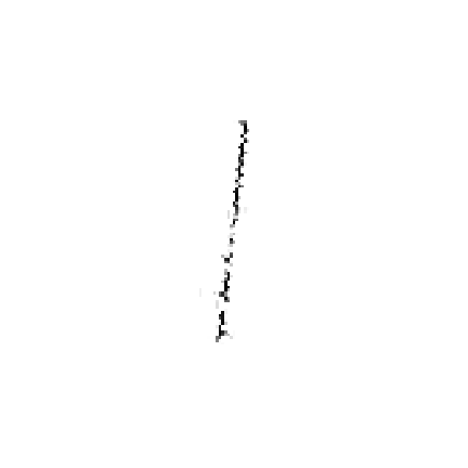 BC(=O)C(N)CCCCNC(=O)[C@@H](N)CCCCNC(=O)COCCOCCNC(=O)CCCCCCCCCCCCCCC(=O)O